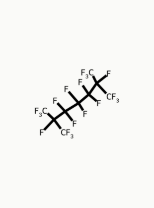 FC(F)(F)C(F)(C(F)(F)F)C(F)(F)C(F)(F)C(F)(F)C(F)(C(F)(F)F)C(F)(F)F